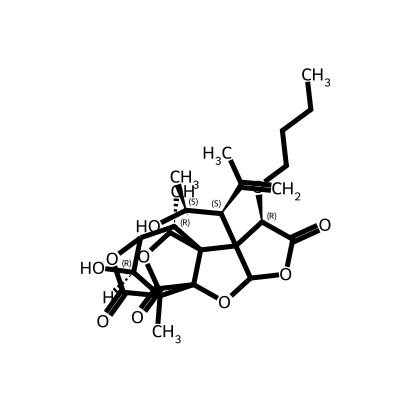 C=C(C)[C@H]([C@H](C)O)C12C(OC(=O)[C@@H]1OCCCC)OC13C(=O)OCC21[C@@H](O)C1OC(=O)C3(C)[C@H]1O